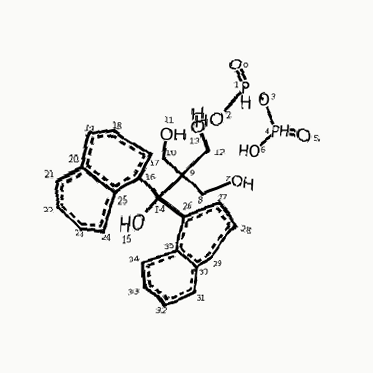 O=[PH](O)O[PH](=O)O.OCC(CO)(CO)C(O)(c1cccc2ccccc12)c1cccc2ccccc12